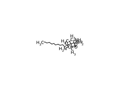 CCCCCCCCCCCCOC(C)(C(=O)CN)C(C(=O)CN)(C(=O)CN)C(C)C